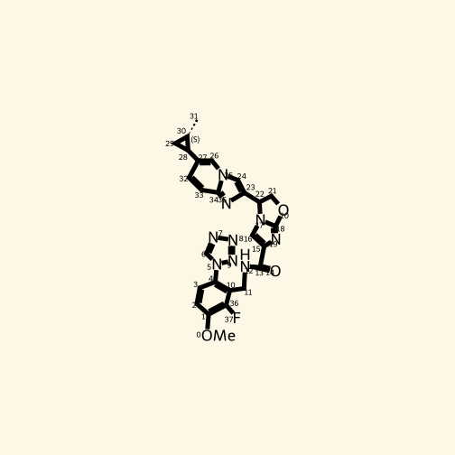 COc1ccc(-n2cnnn2)c(CNC(=O)c2cn3c(n2)OCC3c2cn3cc(C4C[C@@H]4C)ccc3n2)c1F